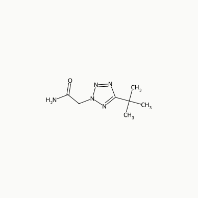 CC(C)(C)c1nnn(CC(N)=O)n1